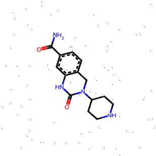 NC(=O)c1ccc2c(c1)NC(=O)N(C1CCNCC1)C2